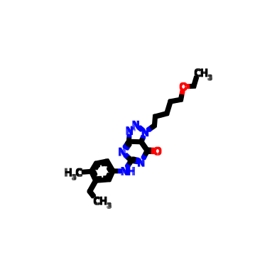 CCOCCCCCN1N=NC2=NC(Nc3ccc(C)c(CC)c3)=NC(=O)C21